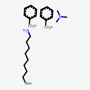 CCCCCCCCCCCCCCCCCCN.CN(C)C.O=C(O)c1ccccc1.O=C(O)c1ccccc1